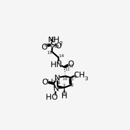 CC1=C[C@H]2CN(C(=O)N2O)[C@@H]1C(=O)NCCS(N)(=O)=O